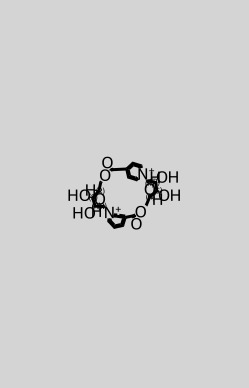 O=C1OC[C@H]2O[C@H]([C@H](O)[C@@H]2O)[n+]2ccc(cc2)C(=O)OC[C@H]2O[C@H]([C@H](O)[C@@H]2O)[n+]2cccc1c2